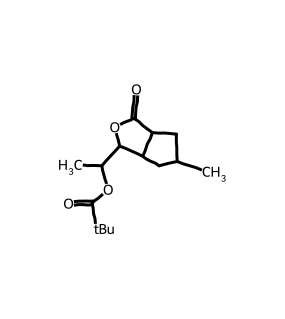 CC1CC2C(=O)OC(C(C)OC(=O)C(C)(C)C)C2C1